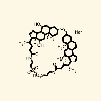 C[C@H](CCC(=O)NCCS(=O)(=O)O)[C@H]1CCC2C3CCC4C[C@H](O)CC[C@]4(C)C3C[C@H](O)[C@@]21C.C[C@H](CCC(=O)NCCS(=O)(=O)[O-])[C@H]1CCC2C3C(C[C@H](O)[C@@]21C)[C@@]1(C)CC[C@@H](O)CC1C[C@H]3O.[Na+]